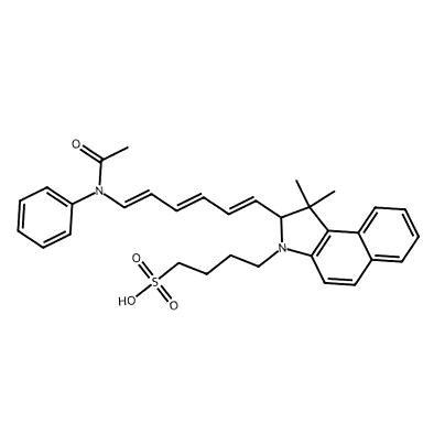 CC(=O)N(C=CC=CC=CC1N(CCCCS(=O)(=O)O)c2ccc3ccccc3c2C1(C)C)c1ccccc1